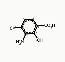 Nc1c(Cl)ccc(C(=O)O)c1O